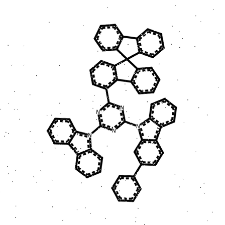 c1ccc(-c2ccc3c4ccccc4n(-c4nc(-c5cccc6c5-c5ccccc5C65c6ccccc6-c6ccccc65)nc(-n5c6ccccc6c6ccccc65)n4)c3c2)cc1